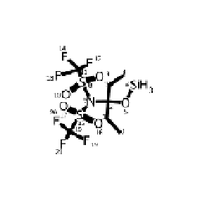 CCC(CC)(O[SiH3])N(S(=O)(=O)C(F)(F)F)S(=O)(=O)C(F)(F)F